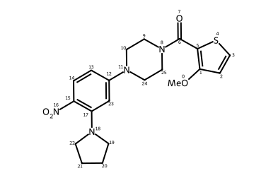 COc1ccsc1C(=O)N1CCN(c2ccc([N+](=O)[O-])c(N3CCCC3)c2)CC1